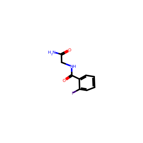 NC(=O)CNC(=O)c1ccccc1I